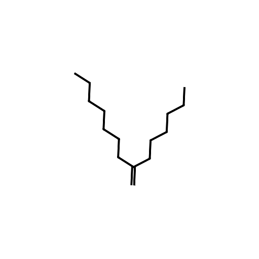 [CH]=C(CCCCCC)CCCCCCC